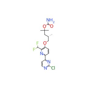 C[C@H](COc1ccc(-c2ccnc(Cl)n2)nc1C(F)F)CC(C)(C)OC(N)=O